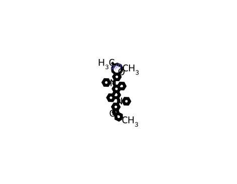 CC1=C/Cc2cc(N(c3ccccc3)c3cc4c5ccccc5c(N(c5ccccc5)c5ccc6oc7ccc(C)cc7c6c5)cc4c4ccccc34)ccc2OC(C)/C=C\1